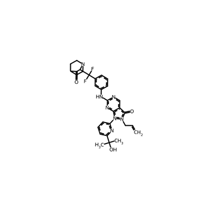 C=CCn1c(=O)c2cnc(Nc3cccc(C(F)(F)C4C(=O)C5CCN4CC5)c3)nc2n1-c1cccc(C(C)(C)O)n1